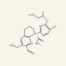 COCC(C)Oc1nc([N@+]2(C(N)=O)CCCc3cc(CO)c(C=O)nc32)ncc1Cl